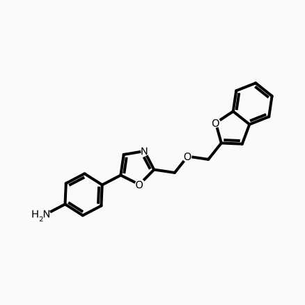 Nc1ccc(-c2cnc(COCc3cc4ccccc4o3)o2)cc1